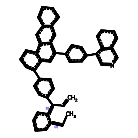 C=C/C(c1ccc(-c2cccc3c2cc(-c2ccc(-c4cncc5ccccc45)cc2)c2cc4ccccc4cc23)cc1)=c1/cccc/c1=C/C